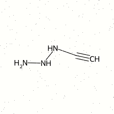 C#CNNN